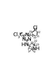 CC1(C)CC(Nc2nc(-c3cccc(Cl)c3)nc(C(Cl)(Cl)Cl)n2)CC(C)(C)N1